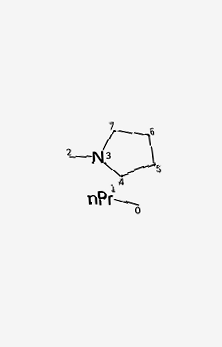 CCCC.CN1CCCC1